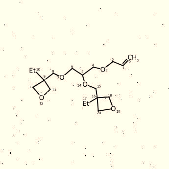 C=CCOCC(COCC1(CC)COC1)OCC1(CC)COC1